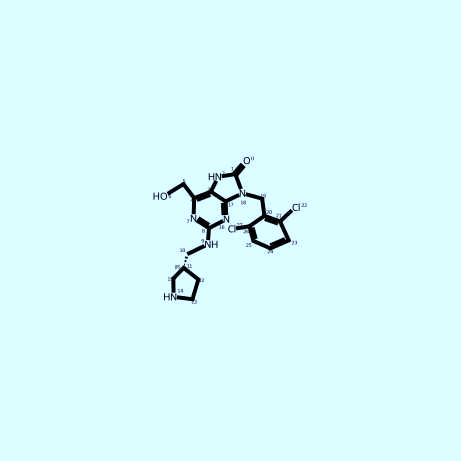 O=c1[nH]c2c(CO)nc(NC[C@@H]3CCNC3)nc2n1Cc1c(Cl)cccc1Cl